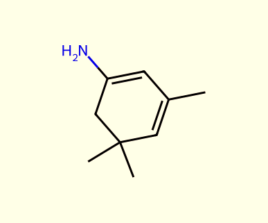 CC1=CC(C)(C)CC(N)=C1